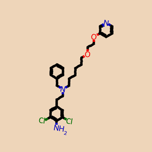 Nc1c(Cl)cc(CCN(CCCCCCOCCOc2cccnc2)Cc2ccccc2)cc1Cl